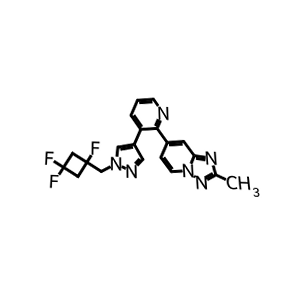 Cc1nc2cc(-c3ncccc3-c3cnn(CC4(F)CC(F)(F)C4)c3)ccn2n1